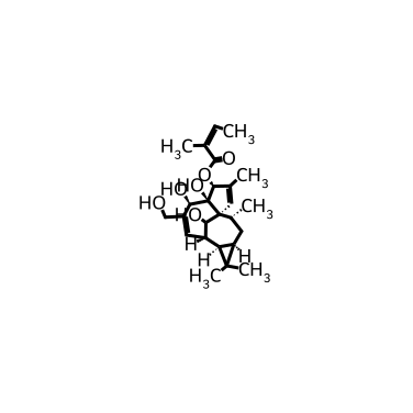 C/C=C(/C)C(=O)O[C@H]1C(C)=C[C@]23C(O)[C@@H](C=C(CO)[C@@H](O)[C@]12O)[C@H]1[C@@H](C[C@H]3C)C1(C)C